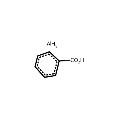 O=C(O)c1ccccc1.[AlH3]